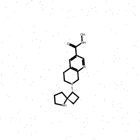 O=C(NO)c1cnc2c(c1)CCN([C@@H]1CC[C@@]13CCCN3)C2